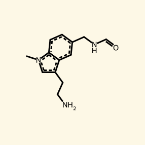 Cn1cc(CCN)c2cc(CNC=O)ccc21